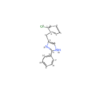 Clc1ccccc1Cc1c[nH]c(-c2ccccc2)n1